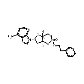 Nc1ncnc2c1ncn2[C@H]1C[C@@H]2OP(=O)(OCCc3ccccc3)OC[C@H]2O1